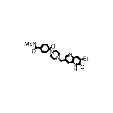 CCc1cc2ncc(CN3CCN(C4(Cl)C=CC(C(=O)NC)=CC4)CC3)cc2[nH]c1=O